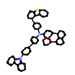 c1ccc(-c2cccc3cccc(-c4ccc(N(c5ccc(-c6ccc(-n7c8ccccc8c8ccccc87)cc6)cc5)c5ccc(-c6cccc7sc8ccccc8c67)cc5)cc4)c23)cc1